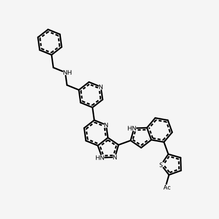 CC(=O)c1ccc(-c2cccc3[nH]c(-c4n[nH]c5ccc(-c6cncc(CNCc7ccccc7)c6)nc45)cc23)s1